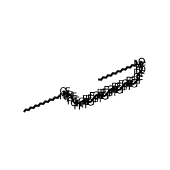 CCCCCCCCCCCCCCCCNC(=O)C(F)(F)OC(F)(F)C(F)(F)OC(F)(F)C(F)OC(F)(F)C(F)(F)OC(F)(F)C(F)(F)OC(F)(F)C(F)(F)OC(F)(F)C(F)(F)OC(F)(F)C(F)(F)OC(F)(F)C(F)(F)OC(F)(F)C(F)(F)OC(F)(F)[C@@H](F)OC(F)(F)C(F)(F)OC(F)(F)C(=O)N(C)CCCCCCCCCCCCCCCC